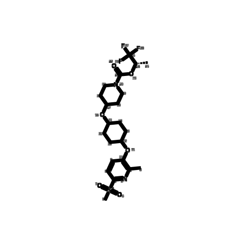 Cc1nc(S(C)(=O)=O)ccc1OC1CCC(OC2CCN(C(=O)O[C@@H](C)C(F)(F)F)CC2)CC1